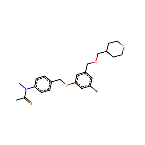 CC(=S)N(C)c1ccc(CSc2cc(F)cc(COCC3CCOCC3)c2)cc1